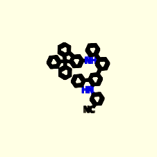 N#Cc1cccc(Nc2ccc(-c3cccc(-c4ccccc4Nc4ccc5c(c4)-c4ccccc4C5(c4ccccc4)c4ccccc4)c3)cc2-c2ccccc2)c1